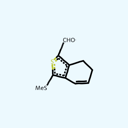 CSc1sc([C]=O)c2c1C=CCC2